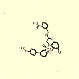 COc1ccc(-c2cccc(S(=O)(=O)N(CC(=O)NCc3cccc(C(=O)O)c3)c3cccc(Cl)c3C)c2)cc1